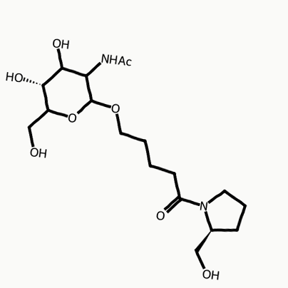 CC(=O)NC1C(OCCCCC(=O)N2CCC[C@H]2CO)OC(CO)[C@H](O)C1O